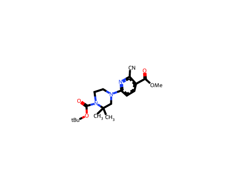 COC(=O)c1ccc(N2CCN(C(=O)OC(C)(C)C)C(C)(C)C2)nc1C#N